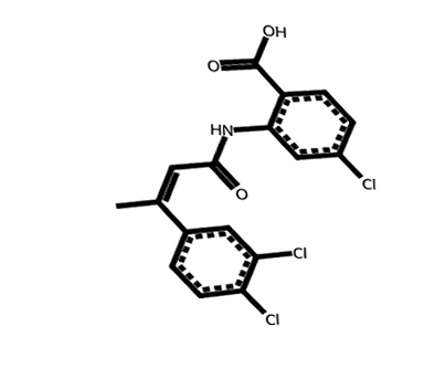 C/C(=C/C(=O)Nc1cc(Cl)ccc1C(=O)O)c1ccc(Cl)c(Cl)c1